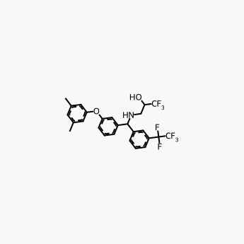 Cc1cc(C)cc(Oc2cccc(C(NCC(O)C(F)(F)F)c3cccc(C(F)(F)C(F)(F)F)c3)c2)c1